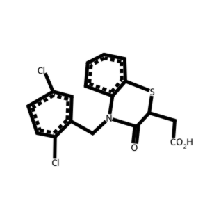 O=C(O)CC1Sc2ccccc2N(Cc2cc(Cl)ccc2Cl)C1=O